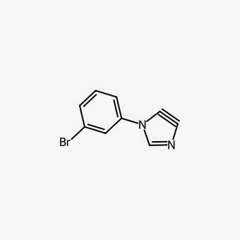 Brc1cccc(-n2c#cnc2)c1